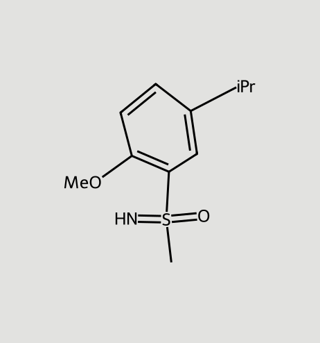 COc1ccc(C(C)C)cc1S(C)(=N)=O